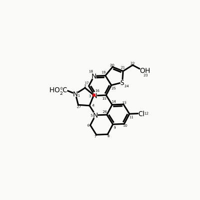 O=C(O)N1CCC(N2CCCc3cc(Cl)cc(-c4ncnc5cc(CO)sc45)c32)C1